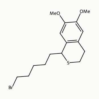 COc1cc2c(cc1OC)C(CCCCCBr)SCC2